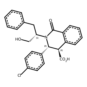 O=C(O)[C@@H]1c2ccccc2C(=O)N([C@H](CO)Cc2ccccc2)[C@H]1c1ccc(Cl)cc1